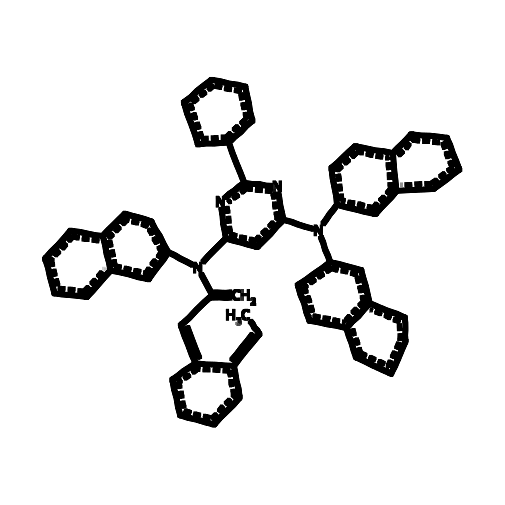 C=C(/C=c1/cccc/c1=C/C)N(c1ccc2ccccc2c1)c1cc(N(c2ccc3ccccc3c2)c2ccc3ccccc3c2)nc(-c2ccccc2)n1